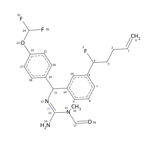 C=CCCC(F)c1cccc(C(/N=C(/N)N(C)C=O)c2ccc(OC(F)F)cc2)c1